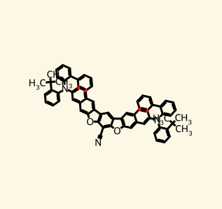 CC(C)(C)c1ccccc1N(c1ccc2cc3c(cc2c1)oc1c(C#N)c2oc4cc5cc(N(c6ccccc6-c6ccccc6)c6ccccc6C(C)(C)C)ccc5cc4c2cc13)c1ccccc1-c1ccccc1